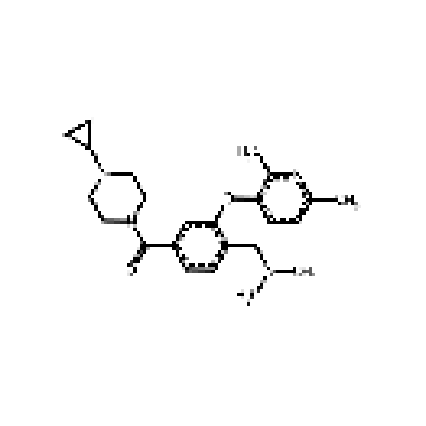 Cc1ccc(Oc2cc(C(=O)N3CCN(C4CC4)CC3)ccc2CN(C)C)c(C)n1